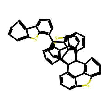 c1ccc2c(c1)sc1c(-c3ccc4c5c(cccc35)C35c6cccc7sc8cccc(c8c67)C43c3cccc4sc6cccc5c6c34)cccc12